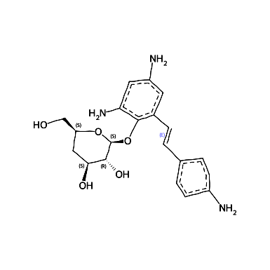 Nc1ccc(/C=C/c2cc(N)cc(N)c2O[C@@H]2O[C@H](CO)C[C@H](O)[C@H]2O)cc1